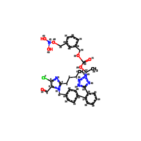 CCCCc1nc(Cl)c(C=O)n1Cc1ccc(-c2ccccc2-c2nnn(C(C)OC(=O)OCc3cccc(CON(O)O)c3)n2)cc1